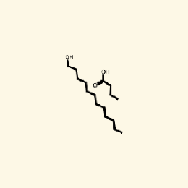 CCCC(=O)O.CCCCCCCCCCCCO